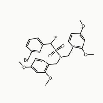 COc1ccc(CN(Cc2ccc(OC)cc2OC)S(=O)(=O)C(F)c2cccc(Br)c2)c(OC)c1